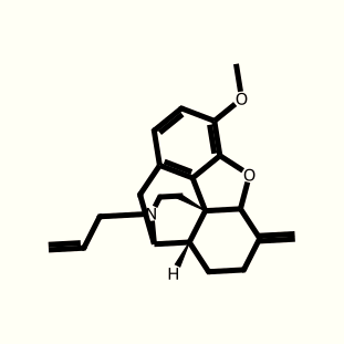 C=CCN1CC[C@@]23c4c5ccc(OC)c4OC2C(=C)CC[C@@H]3C1C5